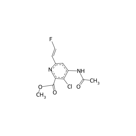 COC(=O)c1nc(C=CF)cc(NC(C)=O)c1Cl